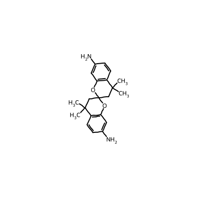 CC1(C)CC2(CC(C)(C)c3ccc(N)cc3O2)Oc2cc(N)ccc21